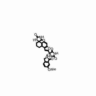 COc1ccc2c(c1)C(=O)N(C[C@@]1(c3cc4c5c(ccc4o3)C3(CCC5)NC(=O)NC3=O)NC(=O)NC1=O)C2